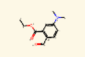 CCOC(=O)c1cc(N(C)C)ccc1C=O